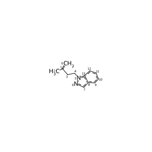 C=C(C)CCn1ncc2ccccc21